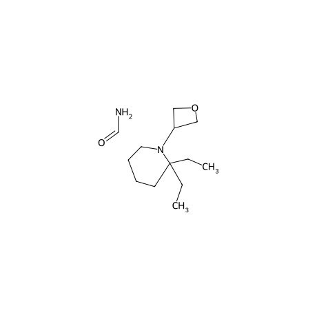 CCC1(CC)CCCCN1C1COC1.NC=O